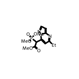 CCc1cc(C(C(=O)OC)P(=O)(OC)OC)n2nccc2n1